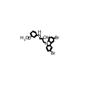 COc1cccc(NC[C@@H](O)Cn2c3ccc(Br)cc3c3cc(Br)ccc32)c1